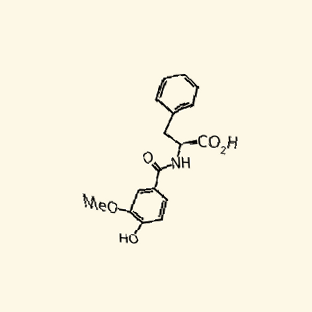 COc1cc(C(=O)N[C@@H](Cc2ccccc2)C(=O)O)ccc1O